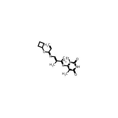 C=C\C(=N/C=C(C)/C(C)=N/c1c(C)c(=O)[nH]c(=O)n1CC)OC1CCC1